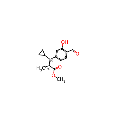 COC(=O)[C@@H](C)[C@H](c1ccc(C=O)c(O)c1)C1CC1